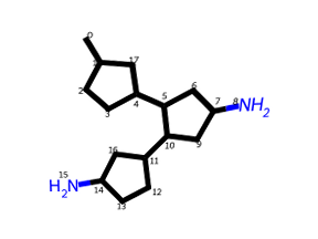 CC1CCC(C2CC(N)CC2C2CCC(N)C2)C1